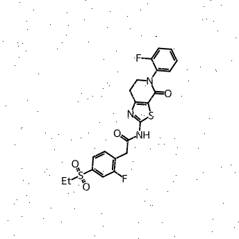 CCS(=O)(=O)c1ccc(CC(=O)Nc2nc3c(s2)C(=O)N(c2ccccc2F)CC3)c(F)c1